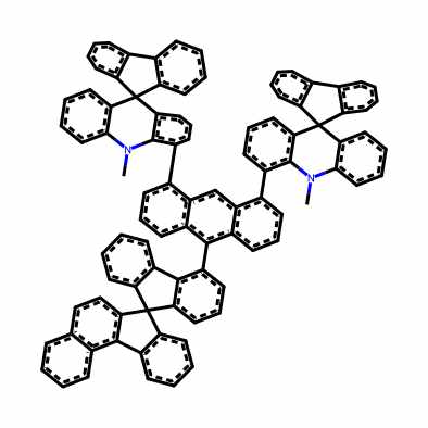 CN1c2ccccc2C2(c3ccccc3-c3ccccc32)c2cccc(-c3cccc4c(-c5cccc6c5-c5ccccc5C65c6ccccc6-c6c5ccc5ccccc65)c5cccc(-c6cccc7c6N(C)c6ccccc6C76c7ccccc7-c7ccccc76)c5cc34)c21